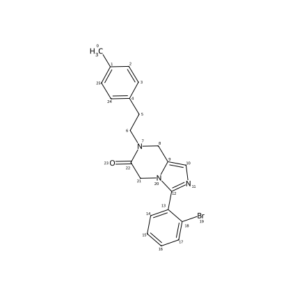 Cc1ccc(CCN2Cc3cnc(-c4ccccc4Br)n3CC2=O)cc1